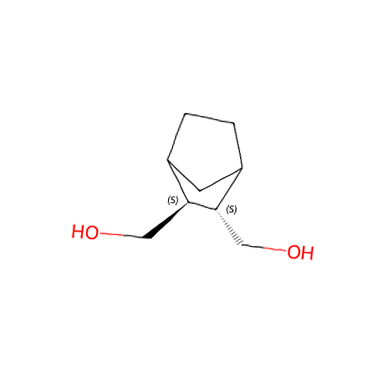 OC[C@H]1C2CCC(C2)[C@@H]1CO